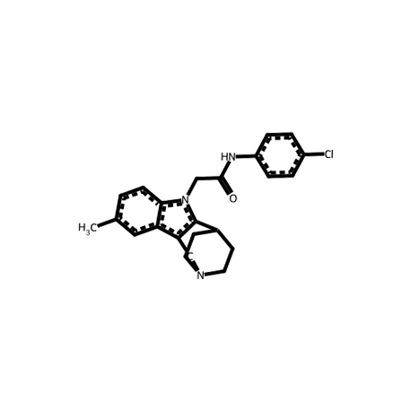 Cc1ccc2c(c1)c1c(n2CC(=O)Nc2ccc(Cl)cc2)C2CCN(CC2)C1